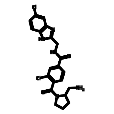 NCC1CCCN1C(=O)c1ccc(C(=O)NCc2nc3cc(Cl)ccc3[nH]2)cc1Cl